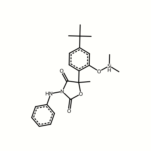 C[SiH](C)Oc1cc(C(C)(C)C)ccc1C1(C)OC(=O)N(Nc2ccccc2)C1=O